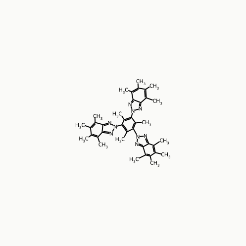 Cc1c(-n2nc3c(C)c(C)c(C)c(C)c3n2)c(C)c(-n2nc3c(C)c(C)c(C)c(C)c3n2)c(C)c1-n1nc2c(C)c(C)c(C)c(C)c2n1